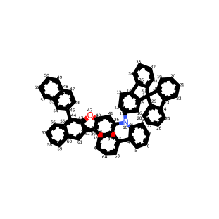 c1ccc(-c2ccccc2N(c2ccc3c(c2)C2(c4ccccc4-c4ccccc42)c2ccccc2-3)c2ccc3c(c2)oc2c(-c4ccc5ccccc5c4)c4ccccc4cc23)cc1